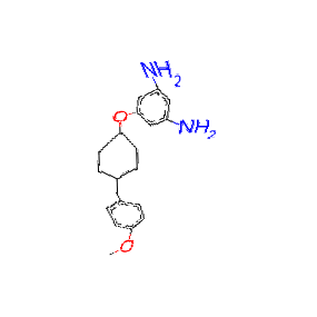 COc1ccc(C2CCC(Oc3cc(N)cc(N)c3)CC2)cc1